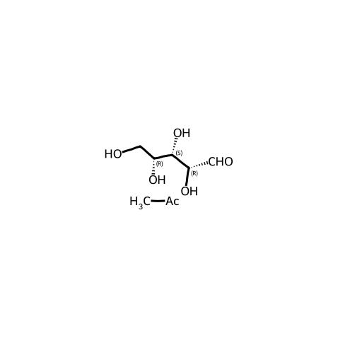 CC(C)=O.O=C[C@H](O)[C@@H](O)[C@H](O)CO